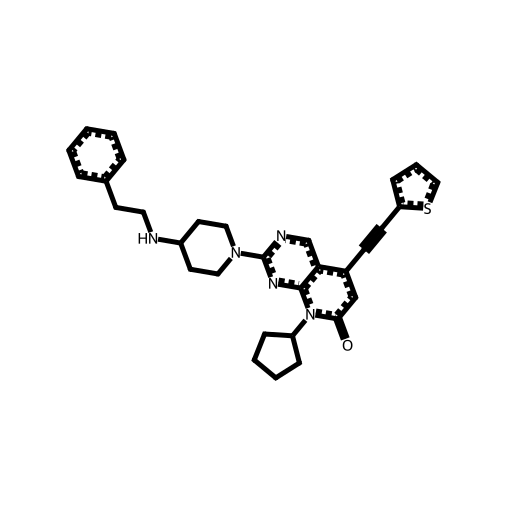 O=c1cc(C#Cc2cccs2)c2cnc(N3CCC(NCCc4ccccc4)CC3)nc2n1C1CCCC1